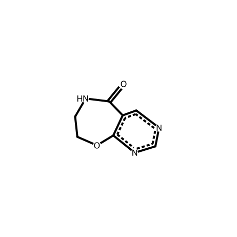 O=C1NCCOc2ncncc21